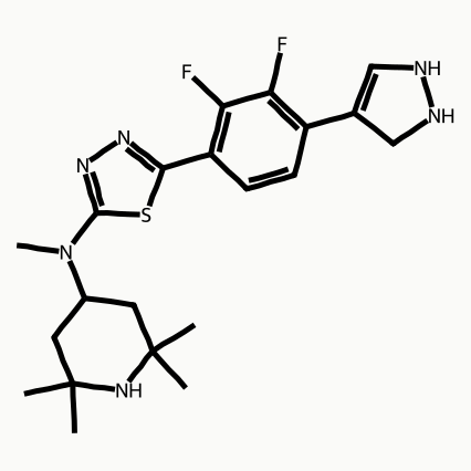 CN(c1nnc(-c2ccc(C3=CNNC3)c(F)c2F)s1)C1CC(C)(C)NC(C)(C)C1